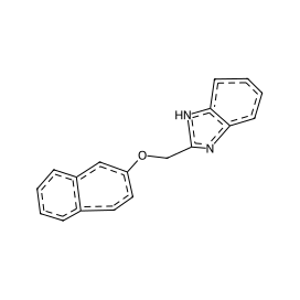 c1ccc2cc(OCc3nc4ccccc4[nH]3)ccc2c1